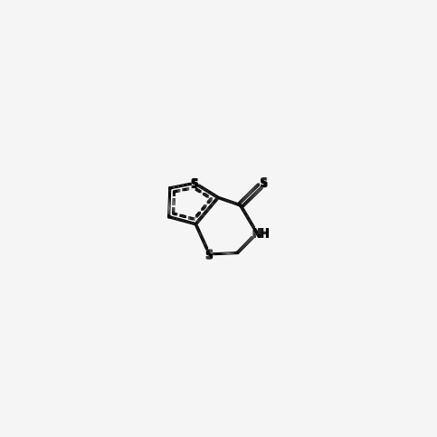 S=C1NCSc2ccsc21